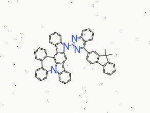 CC1(C)c2ccccc2-c2ccc(-c3nc(-n4c5ccccc5c5c6c7c(cc54)c4ccccc4n7-c4ccccc4-c4ccccc4-6)nc4ccccc34)cc21